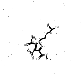 COC(=O)c1nn(CCOCC(F)F)c(C(N)=O)c1[N+](=O)[O-]